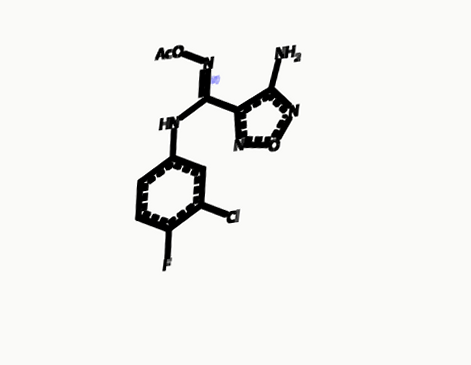 CC(=O)O/N=C(\Nc1ccc(F)c(Cl)c1)c1nonc1N